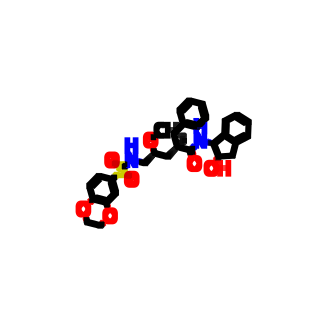 CO[C@H](CNS(=O)(=O)c1ccc2c(c1)OCCO2)C[C@@H](Cc1ccccc1)C(=O)N[C@H]1c2ccccc2C[C@H]1O